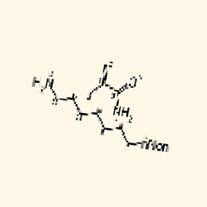 C=C(C)C(N)=O.CCCCCCCCCCCCCCCCN